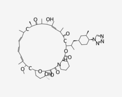 COC1CC2CC[C@@H](C)[C@@](O)(O2)C(=O)C(=O)N2CCCC[C@H]2C(=O)OC(C(C)C[C@@H]2CC[C@H](n3cnnn3)[C@H](C)C2)CC(=O)C(C)/C=C(\C)[C@@H](O)C(C)C(=O)[C@H](C)CC(C)/C=C/C=C/C=C/1C